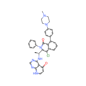 C[C@H](Nc1ncnc2[nH]ccc(=O)c12)c1c(Cl)c2cccc(-c3ccc(N4CCN(C)CC4)cc3)c2c(=O)n1-c1ccccc1